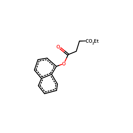 CCOC(=O)CCC(=O)Oc1cccc2ccccc12